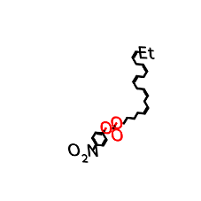 CC/C=C\C/C=C\C/C=C\C/C=C\C/C=C\CCCCOC(=O)Oc1ccc([N+](=O)[O-])cc1